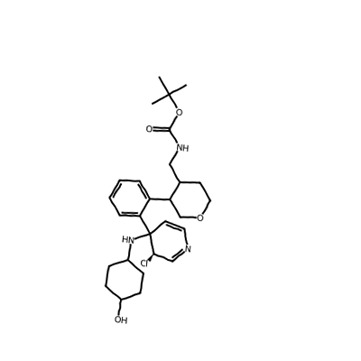 CC(C)(C)OC(=O)NCC1CCOCC1c1ccccc1C1(NC2CCC(O)CC2)C=CN=C[C@H]1Cl